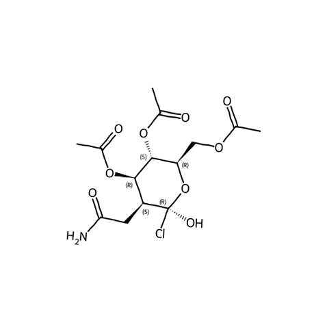 CC(=O)OC[C@H]1O[C@@](O)(Cl)[C@@H](CC(N)=O)[C@@H](OC(C)=O)[C@@H]1OC(C)=O